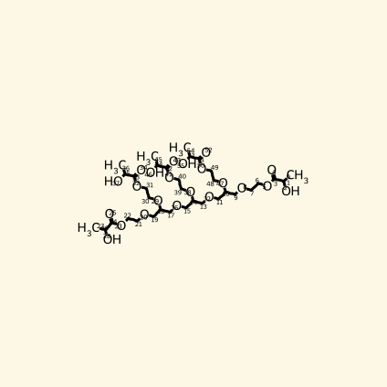 CC(O)C(=O)OCCOCC(COCC(COCC(COCCOC(=O)C(C)O)OCCOC(=O)C(C)O)OCCOC(=O)C(C)O)OCCOC(=O)C(C)O